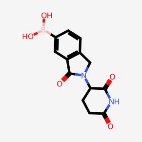 O=C1CCC(N2Cc3ccc(B(O)O)cc3C2=O)C(=O)N1